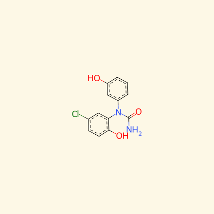 NC(=O)N(c1cccc(O)c1)c1cc(Cl)ccc1O